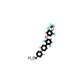 CC[C@H]1CC[C@H](C2CCC(c3c(F)c[c]c(Oc4cc(F)c(OC(F)(F)F)c(F)c4)c3F)CC2)CC1